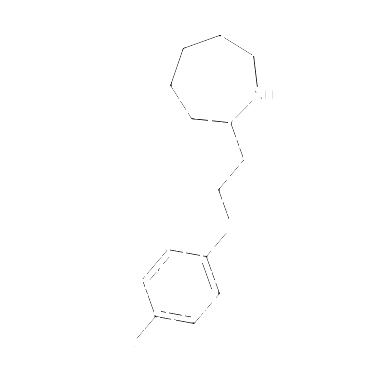 Oc1ccc(SCCC2CCCCCN2)cc1